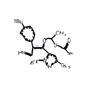 CCn1nc(C)cc1/C(OC(C)OC(=O)C(C)C)=C(\C=N)c1ccc(C(C)(C)C)cc1